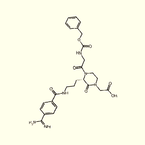 N=C(N)c1ccc(C(=O)NCCC[C@H]2C(=O)N(CC(=O)O)CCN2C(=O)CNC(=O)OCc2ccccc2)cc1